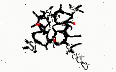 CC1=C(C)[C]([Ti+3])([Si](c2c(C)cc([Si](C)(C)C)c(C)c2[Si](C)(C)C)(c2c(C)cc([Si](C)(C)C)c(C)c2[Si](C)(C)C)c2c(C)cc([Si](C)(C)C)c(C)c2[Si](C)(C)C)C(C)=C1C.[Cl-].[Cl-].[Cl-]